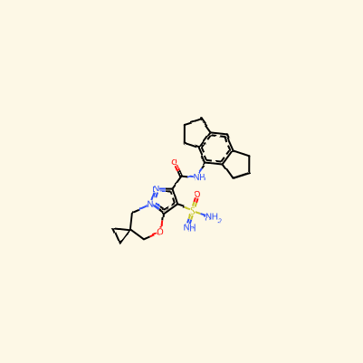 N=S(N)(=O)c1c(C(=O)Nc2c3c(cc4c2CCC4)CCC3)nn2c1OCC1(CC1)C2